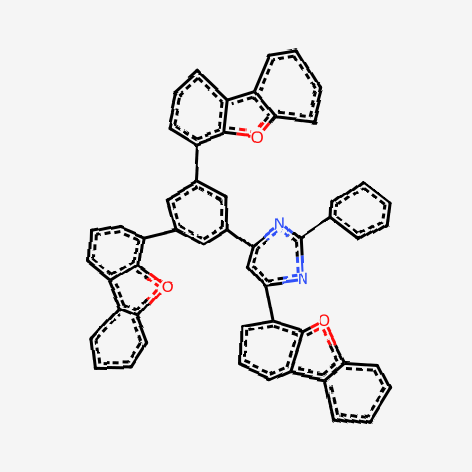 c1ccc(-c2nc(-c3cc(-c4cccc5c4oc4ccccc45)cc(-c4cccc5c4oc4ccccc45)c3)cc(-c3cccc4c3oc3ccccc34)n2)cc1